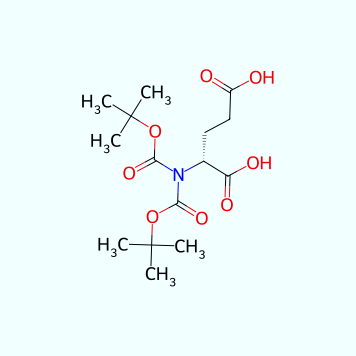 CC(C)(C)OC(=O)N(C(=O)OC(C)(C)C)[C@H](CCC(=O)O)C(=O)O